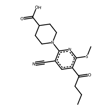 CCCC(=O)c1cc(C#N)c(N2CCC(C(=O)O)CC2)nc1SC